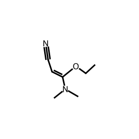 CCO/C(=C\C#N)N(C)C